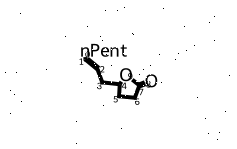 CCCCCC=CCC1CCC(=O)O1